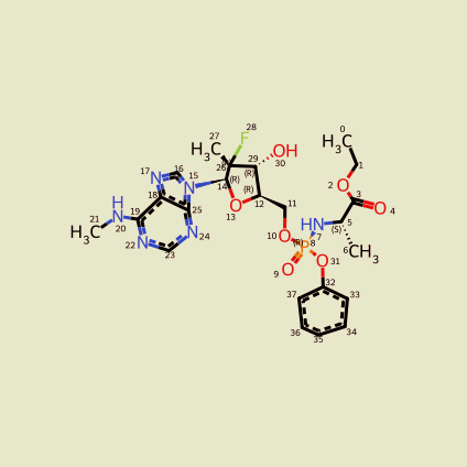 CCOC(=O)[C@H](C)N[P@@](=O)(OC[C@H]1O[C@@H](n2cnc3c(NC)ncnc32)[C@](C)(F)[C@@H]1O)Oc1ccccc1